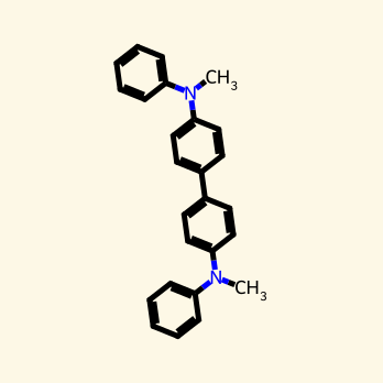 CN(c1ccccc1)c1ccc(-c2ccc(N(C)c3ccccc3)cc2)cc1